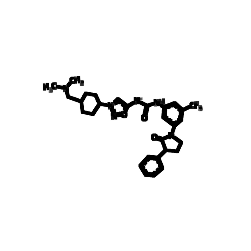 CN(C)CC1CCC([n+]2cc([N-]C(=O)Nc3cc(N4CCC(c5ccccc5)C4=O)cc(C(F)(F)F)c3)on2)CC1